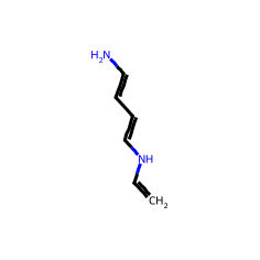 C=CNC=CC=CN